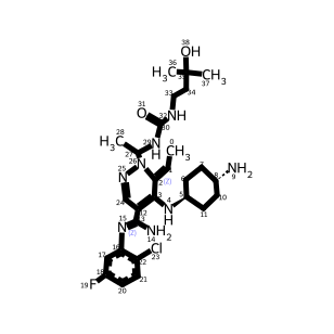 C/C=C1C(N[C@H]2CC[C@H](N)CC2)=C(/C(N)=N/c2cc(F)ccc2Cl)C=NN/1C(C)NC(=O)NCCC(C)(C)O